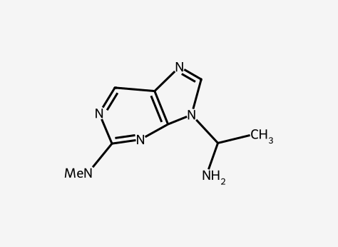 CNc1ncc2ncn(C(C)N)c2n1